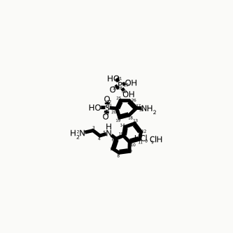 Cl.Cl.NCCNc1cccc2ccccc12.Nc1ccc(S(=O)(=O)O)cc1.O=P(O)(O)O